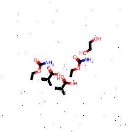 C=C(C)C(=O)O.C=C(C)C(=O)O.CCOC(N)=O.CCOC(N)=O.OCCO